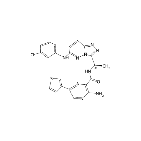 C[C@@H](NC(=O)c1nc(-c2ccsc2)cnc1N)c1nnc2ccc(Nc3cccc(Cl)c3)nn12